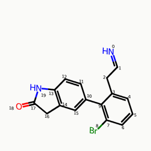 N=CCc1cccc(Br)c1-c1ccc2c(c1)CC(=O)N2